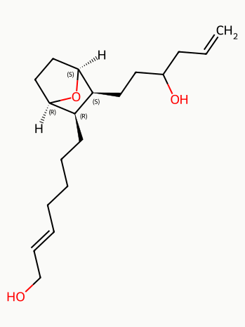 C=CCC(O)CC[C@H]1[C@@H](CCCCC=CCO)[C@H]2CC[C@@H]1O2